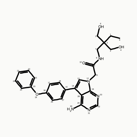 CCC(CO)(CO)CNC(=O)Cn1cc(-c2ccc(Oc3ccccc3)cc2)c2c(N)ncnc21